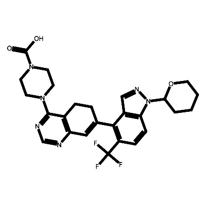 O=C(O)N1CCN(c2ncnc3c2CCC(c2c(C(F)(F)F)ccc4c2cnn4C2CCCCO2)=C3)CC1